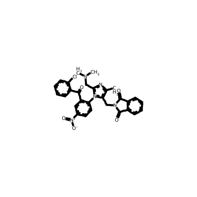 Cc1nc(CN(C)C)n(-c2ccc([N+](=O)[O-])cc2C(=O)c2ccccc2Cl)c1CN1C(=O)c2ccccc2C1=O